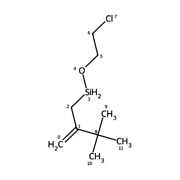 C=C(C[SiH2]OCCCl)C(C)(C)C